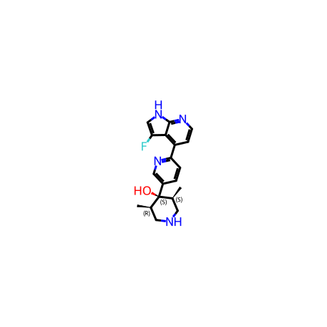 C[C@@H]1CNC[C@H](C)[C@@]1(O)c1ccc(-c2ccnc3[nH]cc(F)c23)nc1